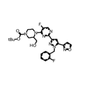 CC(C)(C)OC(=O)N1CCN(c2nc(-c3cc(-c4ccon4)n(Cc4ccccc4F)n3)ncc2F)C(CO)C1